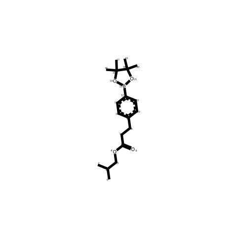 CC(C)COC(=O)CCc1ccc(B2OC(C)(C)C(C)(C)O2)cc1